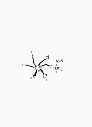 O.[Cl][Ce]([Cl])([Cl])([I])([I])[I].[NaH]